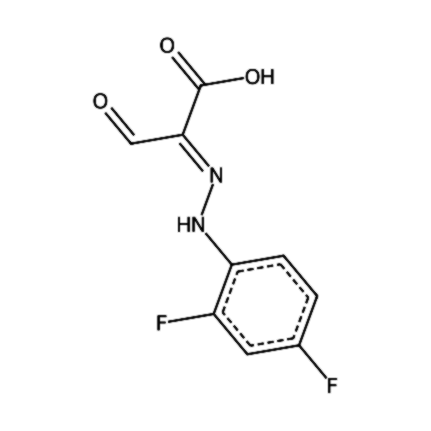 O=C/C(=N\Nc1ccc(F)cc1F)C(=O)O